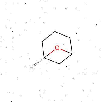 C1CC2C[C@@H](C1)O2